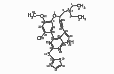 CCN(CC)CCOc1cc(-c2nc(Sc3nccs3)nc3[nH]cc(C#N)c23)c(Cl)cc1OC